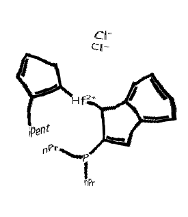 CCCC(C)C1=[C]([Hf+2][CH]2C(P(CCC)CCC)=Cc3ccccc32)CC=C1.[Cl-].[Cl-]